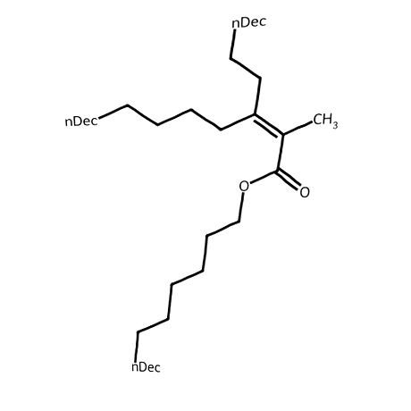 CCCCCCCCCCCCCCCCOC(=O)C(C)=C(CCCCCCCCCCCC)CCCCCCCCCCCCCC